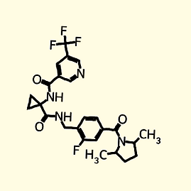 CC1CCC(C)N1C(=O)c1ccc(CNC(=O)C2(NC(=O)c3cncc(C(F)(F)F)c3)CC2)c(F)c1